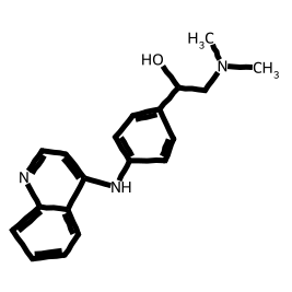 CN(C)CC(O)c1ccc(Nc2ccnc3ccccc23)cc1